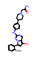 COc1ccccc1-c1cc(O)c2cnc(Nc3ccc(C4CCN(CC(N)=O)CC4)cc3)nn12